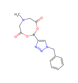 CN1CC(=O)OB(c2cn(Cc3ccccc3)nn2)OC(=O)C1